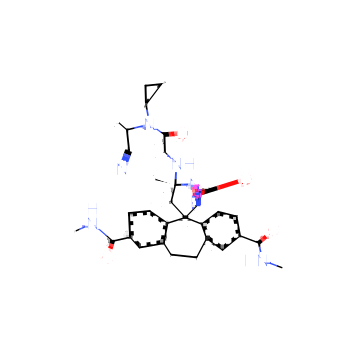 CNC(=O)c1ccc2c(c1)CCc1cc(C(=O)NC)ccc1C21C[C@](C)(NCC(=O)N(C(C)C#N)C2CC2)n2oc(=O)nc21